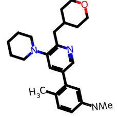 CNc1ccc(C)c(-c2cnc(CC3CCOCC3)c(N3CCCCC3)c2)c1